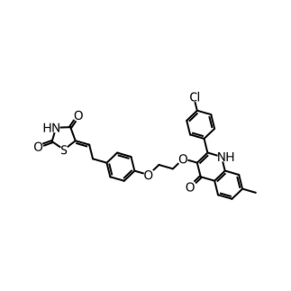 Cc1ccc2c(=O)c(OCCOc3ccc(CC=C4SC(=O)NC4=O)cc3)c(-c3ccc(Cl)cc3)[nH]c2c1